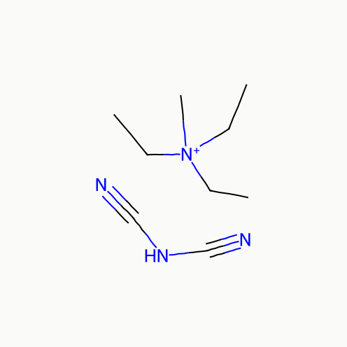 CC[N+](C)(CC)CC.N#CNC#N